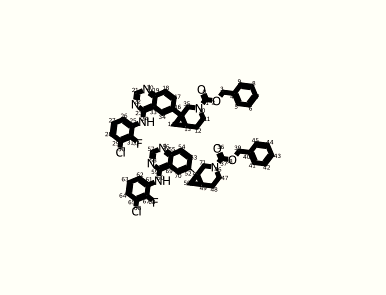 O=C(OCc1ccccc1)N1CCC2CC2(c2ccc3ncnc(Nc4cccc(Cl)c4F)c3c2)C1.O=C(OCc1ccccc1)N1CCC2C[C@@]2(c2ccc3ncnc(Nc4cccc(Cl)c4F)c3c2)C1